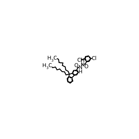 CCCCCCCCC1(CCCCCCCC)c2ccccc2-c2ccc(C(=O)NNC(=O)c3cc(Cl)ccc3Cl)cc21